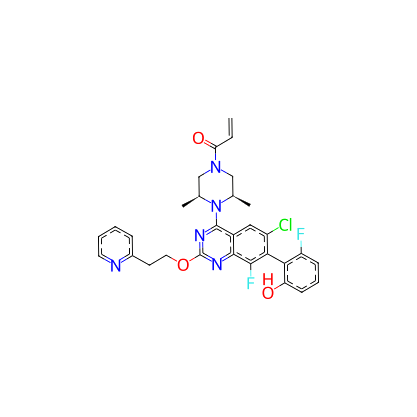 C=CC(=O)N1C[C@@H](C)N(c2nc(OCCc3ccccn3)nc3c(F)c(-c4c(O)cccc4F)c(Cl)cc23)[C@@H](C)C1